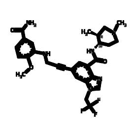 COc1ccc(C(N)=O)cc1NCC#Cc1cc(C(=O)N[C@H]2CCN(C)C[C@@H]2C)c2ncn(CC(F)(F)F)c2c1